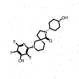 N#Cc1c(F)c(F)nc(N2CCC[C@]3(CCN([C@H]4CC[C@H](O)CC4)C3=O)C2)c1F